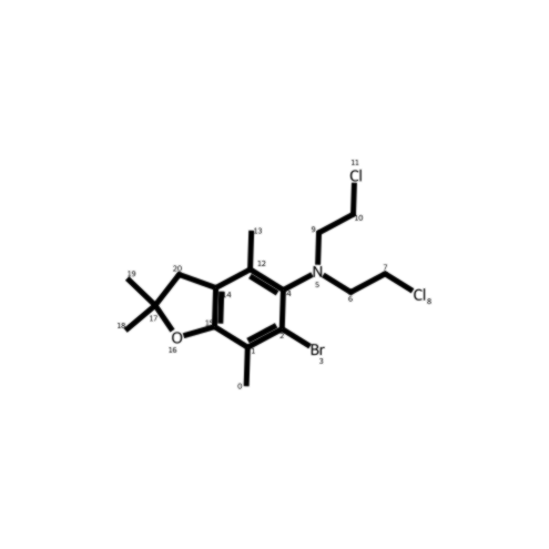 Cc1c(Br)c(N(CCCl)CCCl)c(C)c2c1OC(C)(C)C2